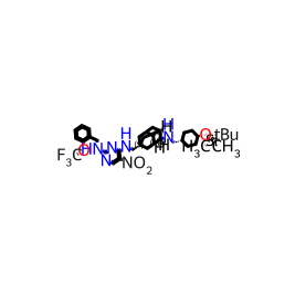 CC(C)(C)[Si](C)(C)O[C@H]1CC[C@H](CN[C@@H]2[C@@H]3CC4C[C@H]2C[C@@](CNc2nc(NCc5ccccc5OC(F)(F)F)ncc2[N+](=O)[O-])(C4)C3)CC1